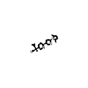 Cc1ccc(C)n1-c1ccc(-c2ccc(C(C)(C#N)C3CC3)cn2)cn1